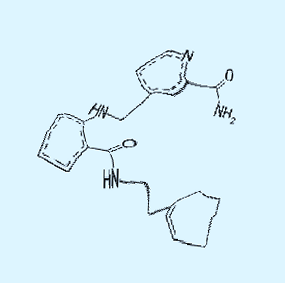 NC(=O)c1cc(CNc2ccccc2C(=O)NCCC2=CCCCC2)ccn1